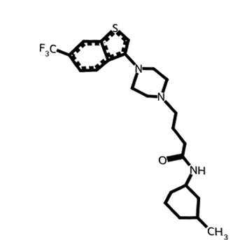 CC1CCCC(NC(=O)CCCN2CCN(c3csc4cc(C(F)(F)F)ccc34)CC2)C1